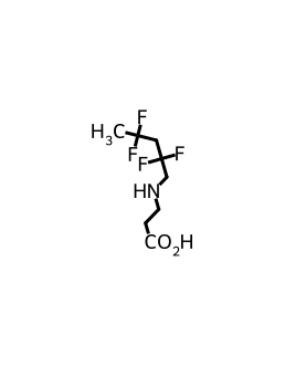 CC(F)(F)CC(F)(F)CNCCC(=O)O